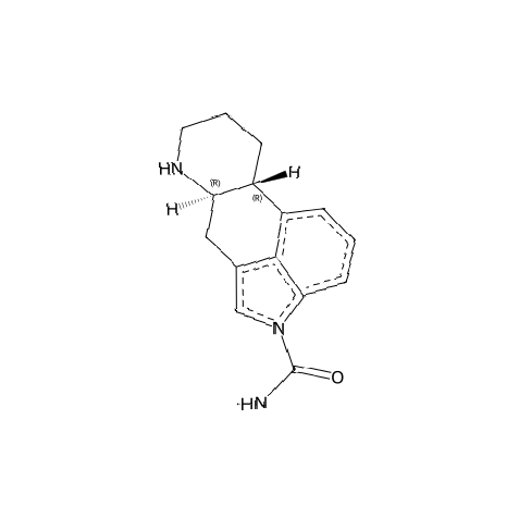 [NH]C(=O)n1cc2c3c(cccc31)[C@H]1CCCN[C@@H]1C2